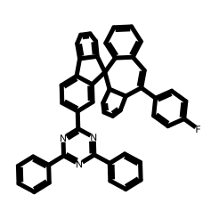 Fc1ccc(C2=Cc3ccccc3C3(c4ccccc4-c4ccc(-c5nc(-c6ccccc6)nc(-c6ccccc6)n5)cc43)C3C=CC=CC23)cc1